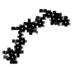 CCOc1cc(C(CS(C)(=O)=O)n2c(=O)[nH]c3cc(-c4cccc(CCOc5cc(C(CS(C)(=O)=O)n6c(=O)[nH]c7cc(-c8cccc(CCOc9cc(C(CS(C)(=O)=O)n%10c(=O)[nH]c%11cc(-c%12ccccc%12CC)cnc%11%10)ccc9OC)c8OCC)cnc76)ccc5OC)c4C)cnc32)ccc1OC